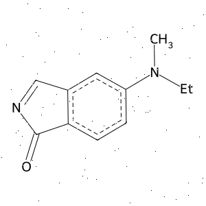 CCN(C)c1ccc2c(c1)C=NC2=O